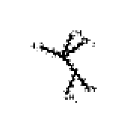 C=CCCCCCC/C(=C\CCCCCC(CCCCCCC=C)(CCCCCCC=C)CCCCCCC=C)CCC/C=C/CCC